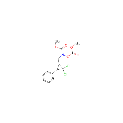 CC(C)(C)OC(=O)ON(CC1C(c2ccccc2)C1(Cl)Cl)C(=O)OC(C)(C)C